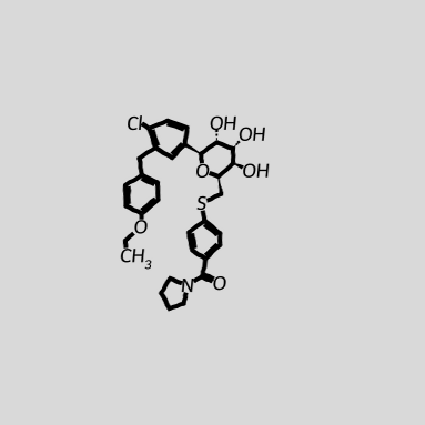 CCOc1ccc(Cc2cc([C@@H]3O[C@H](CSc4ccc(C(=O)N5CCCC5)cc4)[C@H](O)[C@@H](O)[C@H]3O)ccc2Cl)cc1